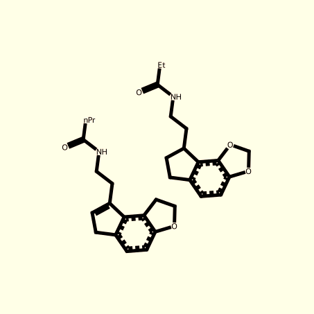 CCC(=O)NCCC1CCc2ccc3c(c21)OCO3.CCCC(=O)NCCC1=CCc2ccc3c(c21)CCO3